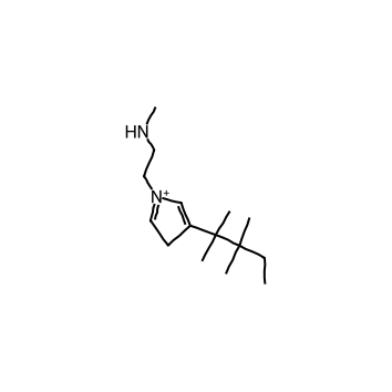 CCC(C)(C)C(C)(C)C1=C[N+](CCNC)=CC1